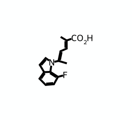 C/C(=C\C=C(/C)n1ccc2cccc(F)c21)C(=O)O